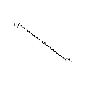 CCCCCCCCCCCCCCCCSCCSCCCCCCCCCCCCCCCC